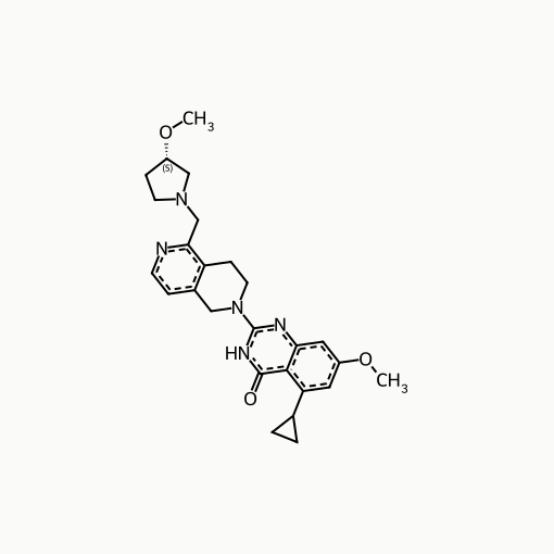 COc1cc(C2CC2)c2c(=O)[nH]c(N3CCc4c(ccnc4CN4CC[C@H](OC)C4)C3)nc2c1